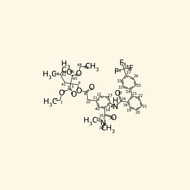 CCOC(=O)C(COC(=O)Cc1ccc(NC(=O)c2ccccc2-c2ccc(C(F)(F)F)cc2)c(C(=O)N(C)C)c1)(CC(C)C)C(=O)OCC